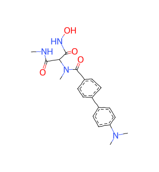 CNC(=O)C(C(=O)NO)N(C)C(=O)c1ccc(-c2ccc(N(C)C)cc2)cc1